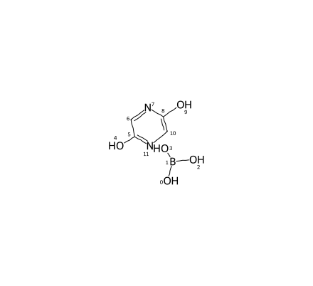 OB(O)O.Oc1cnc(O)cn1